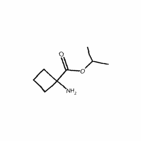 CC(C)OC(=O)C1(N)CCC1